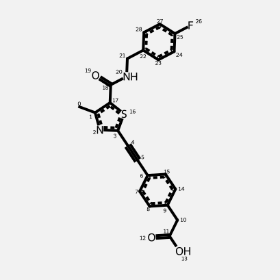 Cc1nc(C#Cc2ccc(CC(=O)O)cc2)sc1C(=O)NCc1ccc(F)cc1